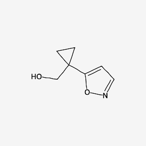 OCC1(c2ccno2)CC1